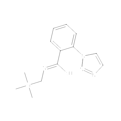 C[Si](C)(C)CN=C(S)c1ccccc1-n1ccnn1